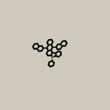 c1ccc(-p2c3ccccc3c3c4c(-c5ccc6ccccc6c5)c5ccccc5c(-c5ccc6ccccc6c5)c4ccc32)cc1